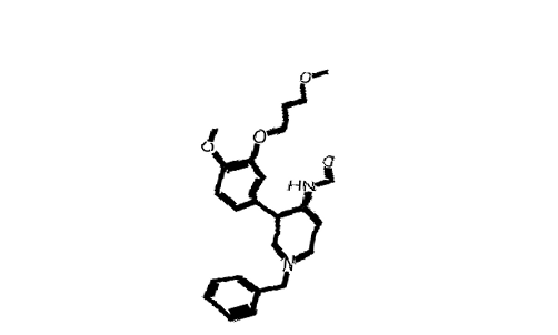 COCCCOc1cc(C2CN(Cc3ccccc3)CCC2NC=O)ccc1OC